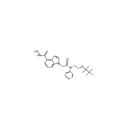 CC(C)(C)[Si](C)(C)OCCN(C(=O)Cn1ccc2c(C(=O)NO)cccc21)c1ccccc1